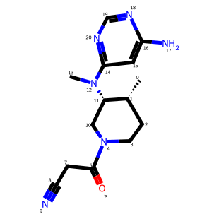 C[C@@H]1CCN(C(=O)CC#N)C[C@@H]1N(C)c1cc(N)ncn1